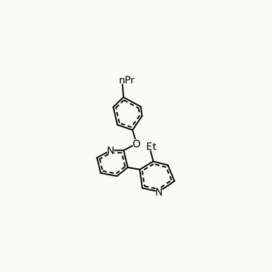 CCCc1ccc(Oc2ncccc2-c2cnccc2CC)cc1